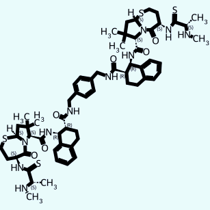 CN[C@@H](C)C(=S)N[C@H]1CCS[C@H]2CC(C)(C)[C@@H](C(=O)N[C@H]3c4ccccc4CC[C@H]3C(=O)NCc3ccc(CNC(=O)[C@@H]4CCc5ccccc5[C@@H]4NC(=O)[C@H]4N5C(=O)[C@@H](NC(=S)[C@H](C)NC)CCS[C@H]5CC4(C)C)cc3)N2C1=O